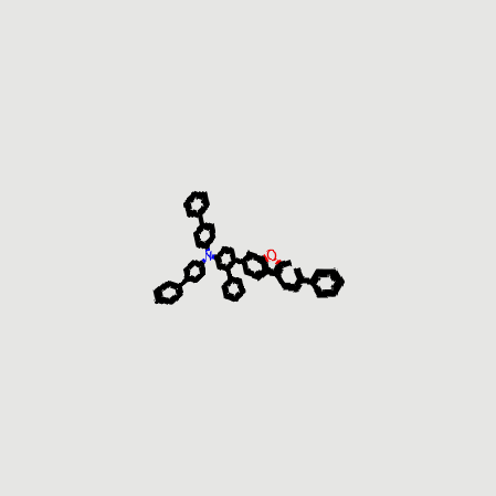 C=C(/C=C\c1c(C)oc2cc(-c3ccc(N(c4ccc(-c5ccccc5)cc4)c4ccc(-c5ccccc5)cc4)cc3-c3ccccc3)ccc12)c1ccccc1